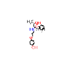 CC(O)CC(NCCCOc1ccc(O)cc1)(Oc1ccccc1)C(=O)O